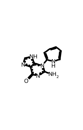 Nc1nc(=O)c2nc[nH]c2n1C1=CC=CC=CN1